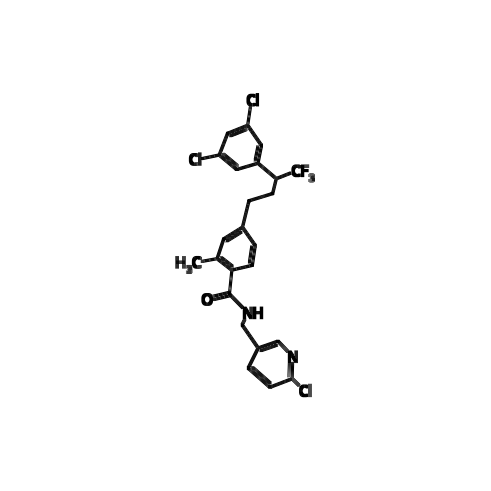 Cc1cc(CCC(c2cc(Cl)cc(Cl)c2)C(F)(F)F)ccc1C(=O)NCc1ccc(Cl)nc1